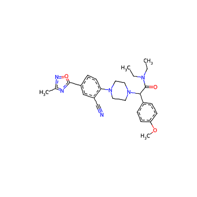 CCN(CC)C(=O)C(c1ccc(OC)cc1)N1CCN(c2ccc(-c3nc(C)no3)cc2C#N)CC1